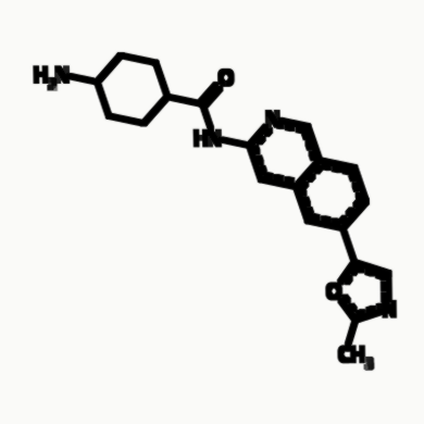 Cc1ncc(-c2ccc3cnc(NC(=O)C4CCC(N)CC4)cc3c2)o1